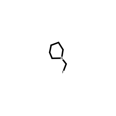 FCN1CC[CH]CC1